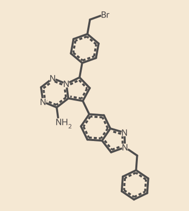 Nc1ncnn2c(-c3ccc(CBr)cc3)cc(-c3ccc4cn(Cc5ccccc5)nc4c3)c12